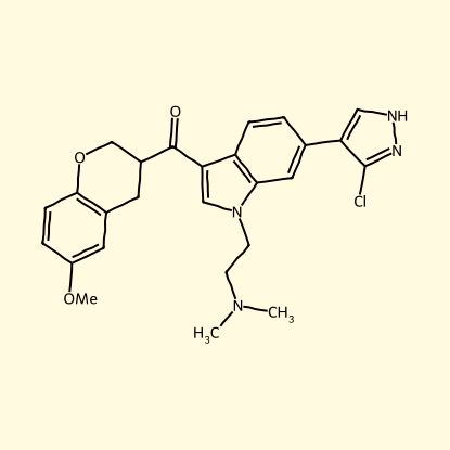 COc1ccc2c(c1)CC(C(=O)c1cn(CCN(C)C)c3cc(-c4c[nH]nc4Cl)ccc13)CO2